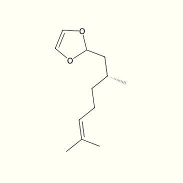 CC(C)=CCC[C@@H](C)CC1OC=CO1